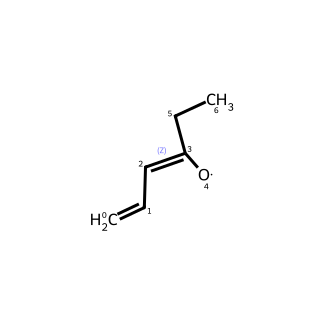 C=C/C=C(\[O])CC